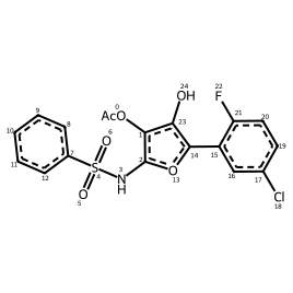 CC(=O)Oc1c(NS(=O)(=O)c2ccccc2)oc(-c2cc(Cl)ccc2F)c1O